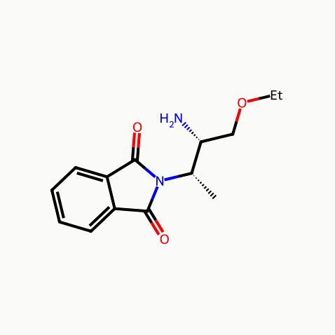 CCOC[C@@H](N)[C@H](C)N1C(=O)c2ccccc2C1=O